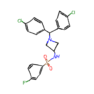 O=S(=O)(NC1CN(C(c2ccc(Cl)cc2)c2ccc(Cl)cc2)C1)c1ccc(F)cc1